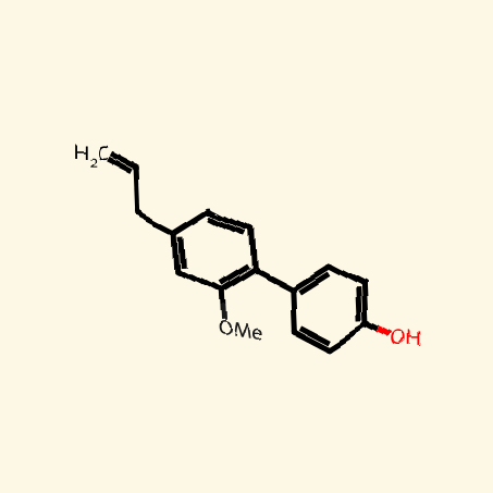 C=CCc1ccc(-c2ccc(O)cc2)c(OC)c1